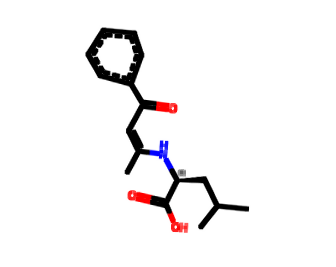 CC(=CC(=O)c1ccccc1)N[C@@H](CC(C)C)C(=O)O